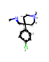 C/N=C/C1(c2ccc(Cl)cc2)CCN(C)CC1